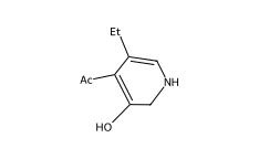 CCC1=CNCC(O)=C1C(C)=O